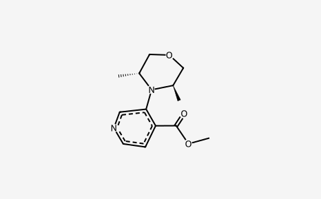 COC(=O)c1ccncc1N1[C@H](C)COC[C@H]1C